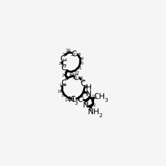 Cc1cc(N)nc(C)c1NC1CCCCCCCCC(CC2CCCCCCCCCCCC2)CCCCC1